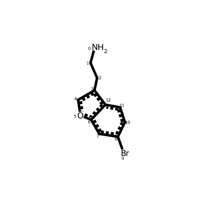 NCCc1coc2cc(Br)ccc12